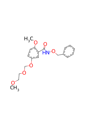 COCCOCOc1ccc(OC)c(C(=O)NOCc2ccccc2)c1